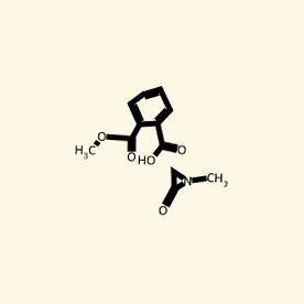 CN1CC1=O.COC(=O)c1ccccc1C(=O)O